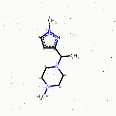 CC(c1ccn(C)n1)N1CCN(C)CC1